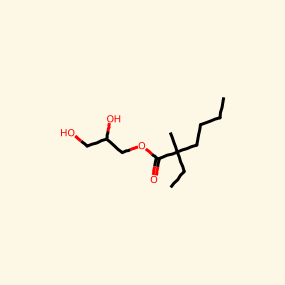 CCCCC(C)(CC)C(=O)OCC(O)CO